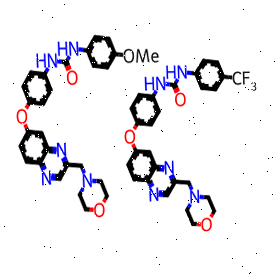 COc1ccc(NC(=O)Nc2ccc(Oc3ccc4ncc(CN5CCOCC5)nc4c3)cc2)cc1.O=C(Nc1ccc(Oc2ccc3ncc(CN4CCOCC4)nc3c2)cc1)Nc1ccc(C(F)(F)F)cc1